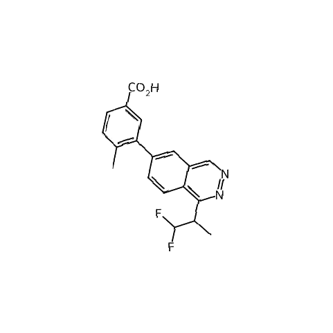 Cc1ccc(C(=O)O)cc1-c1ccc2c(C(C)C(F)F)nncc2c1